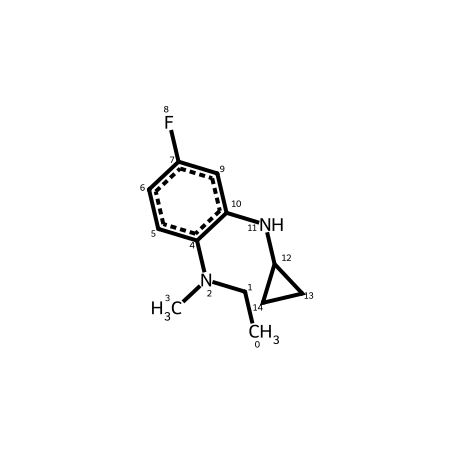 CCN(C)c1ccc(F)cc1NC1CC1